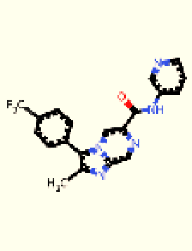 Cc1nc2cnc(C(=O)Nc3cccnc3)cn2c1-c1ccc(C(F)(F)F)cc1